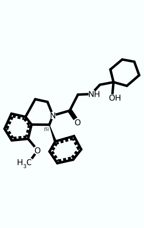 COc1cccc2c1[C@H](c1ccccc1)N(C(=O)CNCC1(O)CCCCC1)CC2